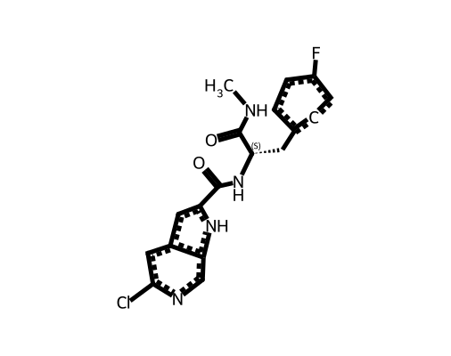 CNC(=O)[C@H](Cc1ccc(F)cc1)NC(=O)c1cc2cc(Cl)ncc2[nH]1